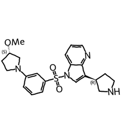 CO[C@H]1CCN(c2cccc(S(=O)(=O)n3cc([C@H]4CCNC4)c4ncccc43)c2)C1